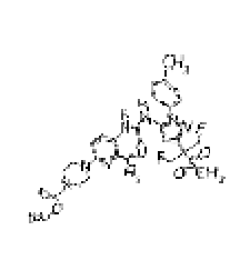 Cc1ccc(-n2nc(C(CF)(CF)S(C)(=O)=O)cc2NC(=O)Nc2ccc(N3CCN(C(=O)OC(C)(C)C)CC3)nc2C)cc1